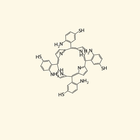 Nc1ccc(S)cc1-c1c2nc(c(-c3cc(S)ccc3N)c3ccc([nH]3)c(-c3cc(S)ccc3N)c3nc(c(-c4cc(S)ccc4N)c4ccc1[nH]4)C=C3)C=C2